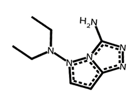 CCN(CC)n1ccc2nnc(N)n21